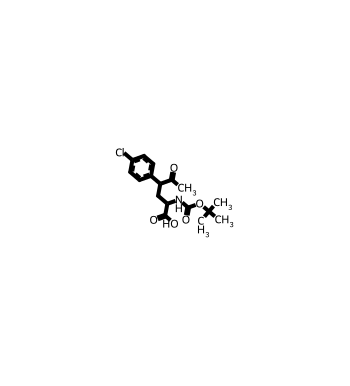 CC(=O)C(CC(NC(=O)OC(C)(C)C)C(=O)O)c1ccc(Cl)cc1